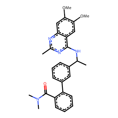 COc1cc2nc(C)nc(NC(C)c3cccc(-c4ccccc4C(=O)N(C)C)c3)c2cc1OC